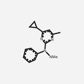 CNN(c1ccccc1)c1nc(C)cc(C2CC2)n1